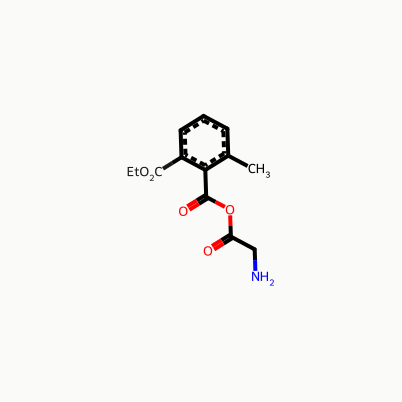 CCOC(=O)c1cccc(C)c1C(=O)OC(=O)CN